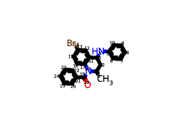 CC1CC(Nc2ccccc2)c2cc(Br)ccc2N1C(=O)c1ccccc1